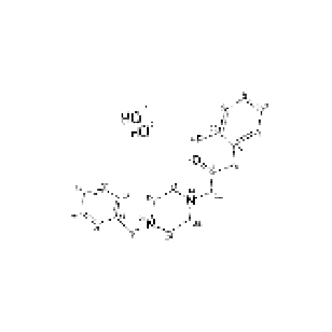 Cl.Cl.O=C(Cc1ccccc1F)CN1CCN(Cc2ccccc2)CC1